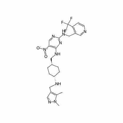 Cc1c(CN[C@H]2CC[C@H](CNc3nc(NCc4cnccc4C(F)(F)F)ncc3[N+](=O)[O-])CC2)cnn1C